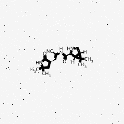 CC1(C)C[C@@H](C[C@@H](C#N)NC(=O)[C@H]2NC[C@H]3[C@@H]2C3(C)C)C(=O)N1